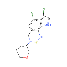 Clc1c[nH]c2c3c(cc(Cl)c12)CN(C1CCCOC1)SN3